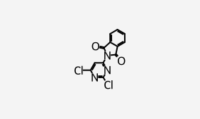 O=C1c2ccccc2C(=O)N1c1cc(Cl)nc(Cl)n1